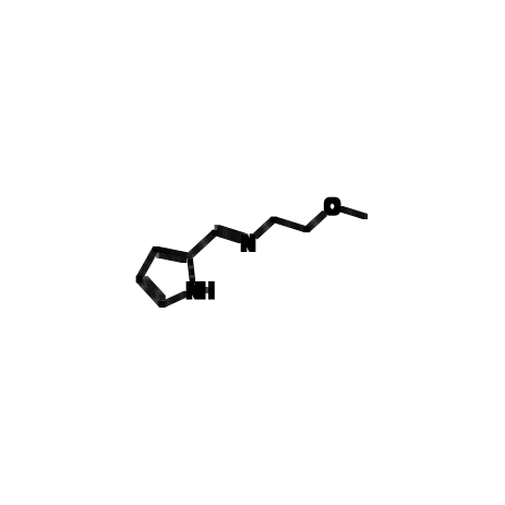 COCCN=Cc1ccc[nH]1